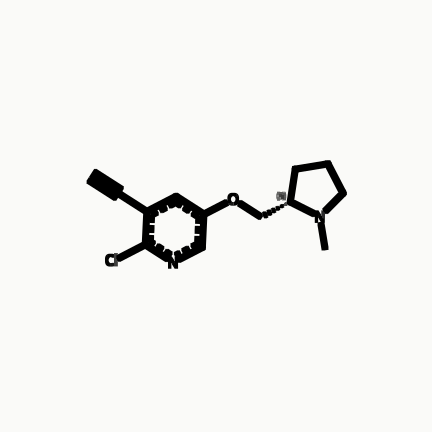 C#Cc1cc(OC[C@@H]2CCCN2C)cnc1Cl